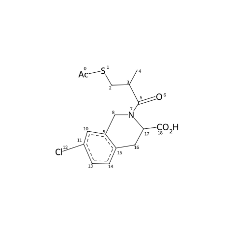 CC(=O)SCC(C)C(=O)N1Cc2cc(Cl)ccc2CC1C(=O)O